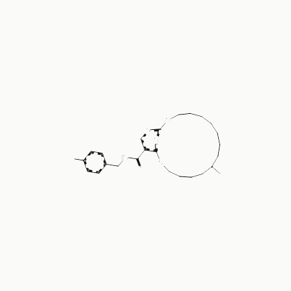 CC1CCCCCCCNc2ncc(C(=O)NCc3ccc(F)cc3)c(n2)NCCCC1